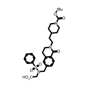 CC(C)(C)OC(=O)N1CCC(CCN2CCc3cc(CN(CC(=O)O)S(=O)(=O)c4ccccc4)ccc3C2=O)CC1